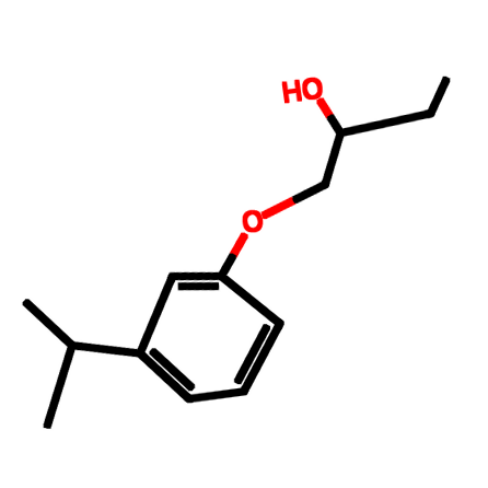 CCC(O)COc1cccc(C(C)C)c1